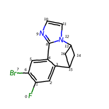 Fc1cc2c(cc1Br)-c1nccn1C1CC2C1